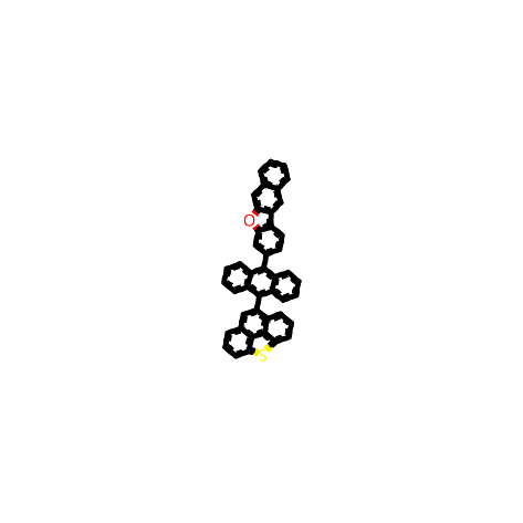 c1ccc2cc3c(cc2c1)oc1cc(-c2c4ccccc4c(-c4cc5cccc6sc7cccc4c7c56)c4ccccc24)ccc13